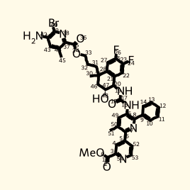 COC(=O)c1cc(-c2nc(-c3ccccc3)c(NC(=O)NC3c4cc(F)c(F)cc4C(C)(CCCOC(=O)c4nc(Br)c(N)cc4C)C[C@H]3O)cc2C)ccn1